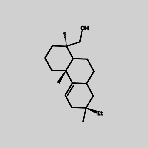 CC[C@@]1(C)CC=C2C(CCC3[C@](C)(CO)CCC[C@@]23C)C1